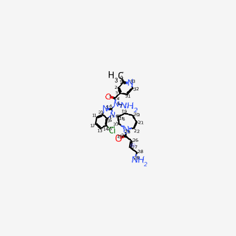 Cc1cc(C(=O)N(N)c2nc3cccc(Cl)c3n2[C@@H]2CCCCN(C(=O)/C=C/CN)C2)ccn1